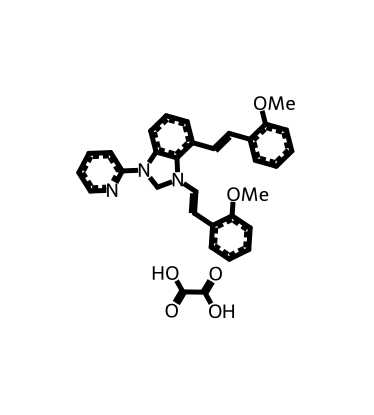 COc1ccccc1/C=C/c1cccc2c1N(/C=C/c1ccccc1OC)CN2c1ccccn1.O=C(O)C(=O)O